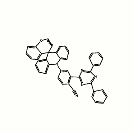 N#Cc1ccc(N2c3ccccc3C3(c4ccccc4Sc4ccccc43)c3ccccc32)cc1-c1nc(-c2ccccc2)nc(-c2ccccc2)n1